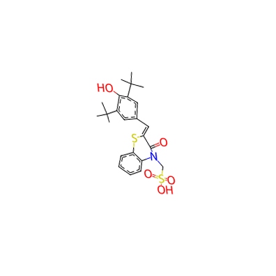 CC(C)(C)c1cc(/C=C2\Sc3ccccc3N(CS(=O)(=O)O)C2=O)cc(C(C)(C)C)c1O